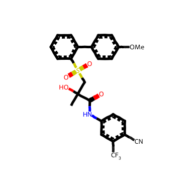 COc1ccc(-c2ccccc2S(=O)(=O)CC(C)(O)C(=O)Nc2ccc(C#N)c(C(F)(F)F)c2)cc1